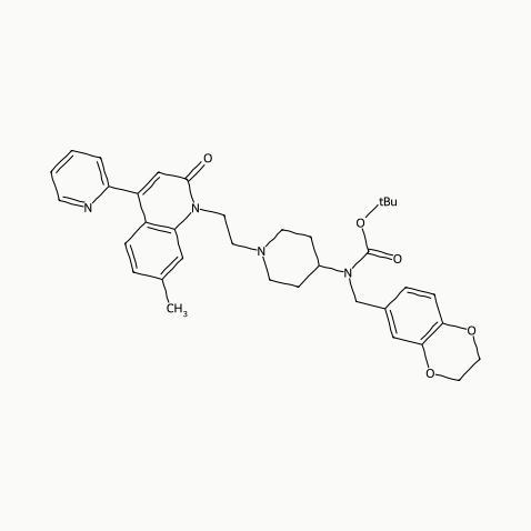 Cc1ccc2c(-c3ccccn3)cc(=O)n(CCN3CCC(N(Cc4ccc5c(c4)OCCO5)C(=O)OC(C)(C)C)CC3)c2c1